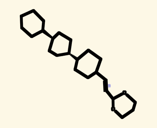 C(=C\C1OCCCO1)/C1CCC([C@H]2CC[C@H](C3CCCCC3)CC2)CC1